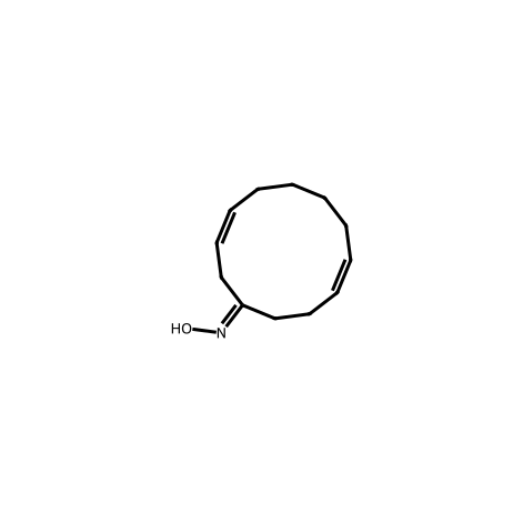 ON=C1CC=CCCCCC=CCC1